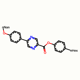 CCCCCCCCCOc1ccc(-c2cnc(C(=O)Oc3ccc(CCCCCC)cc3)cn2)cc1